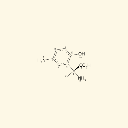 C[C@](N)(C(=O)O)c1cc(N)ccc1O